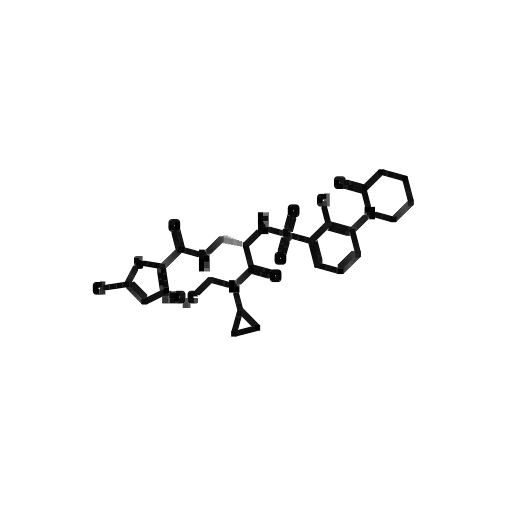 CCOC(=O)CN(C(=O)[C@H](CNC(=O)c1ccc(Cl)s1)NS(=O)(=O)c1cccc(N2CCCCC2=O)c1Cl)C1CC1